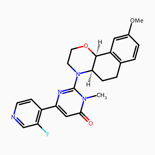 COc1ccc2c(c1)[C@@H]1OCCN(c3nc(-c4ccncc4F)cc(=O)n3C)[C@@H]1CC2